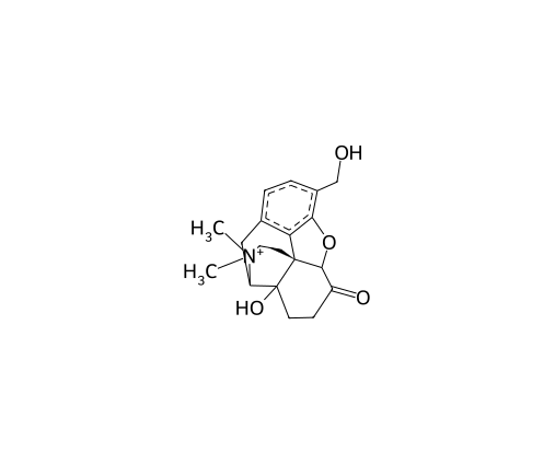 C[N+]1(C)CC[C@@]23c4c5ccc(CO)c4OC2C(=O)CCC3(O)C1C5